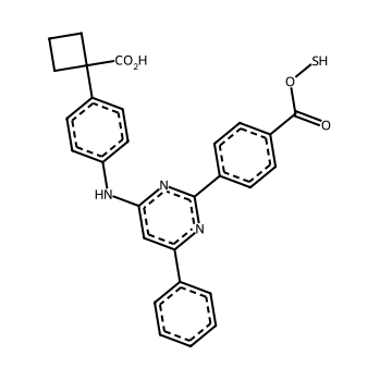 O=C(OS)c1ccc(-c2nc(Nc3ccc(C4(C(=O)O)CCC4)cc3)cc(-c3ccccc3)n2)cc1